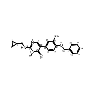 Cn1c(NCC2CC2)ncc(-c2ccc(OCc3ccccc3)c(F)c2)c1=O